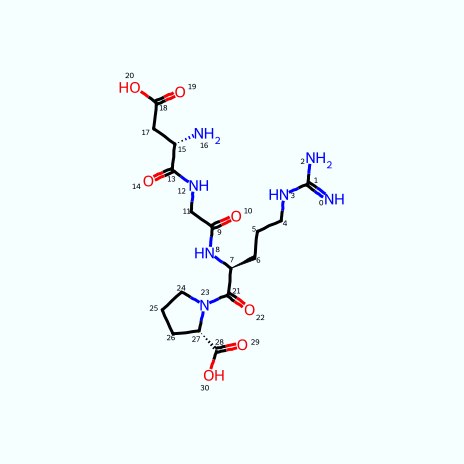 N=C(N)NCCC[C@H](NC(=O)CNC(=O)[C@@H](N)CC(=O)O)C(=O)N1CCC[C@H]1C(=O)O